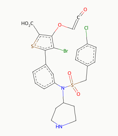 O=C=COc1c(C(=O)O)sc(-c2cccc(N(C3CCNCC3)S(=O)(=O)Cc3ccc(Cl)cc3)c2)c1Br